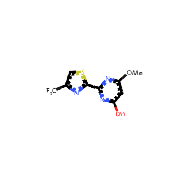 COc1cc(O)nc(-c2nc(C(F)(F)F)cs2)n1